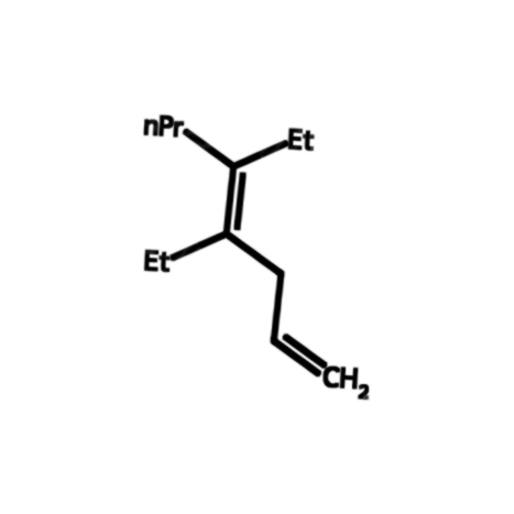 C=CC/C(CC)=C(\CC)CCC